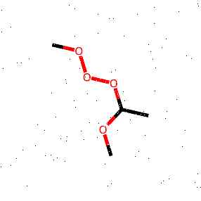 COOOC(C)OC